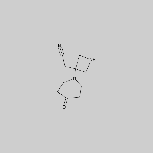 N#CCC1(N2CCC(=O)CC2)CNC1